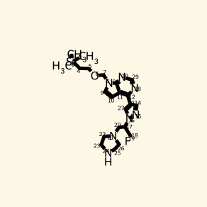 C[Si](C)(C)CCOCn1ccc2c(-c3cnn(C(CF)CN4CCNCC4)c3)ncnc21